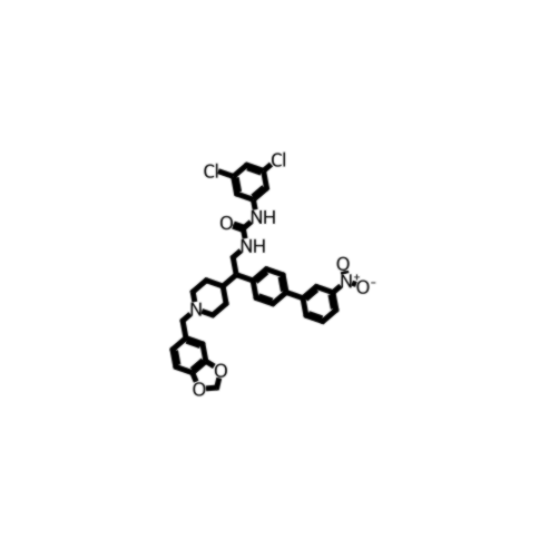 O=C(NCC(c1ccc(-c2cccc([N+](=O)[O-])c2)cc1)C1CCN(Cc2ccc3c(c2)OCO3)CC1)Nc1cc(Cl)cc(Cl)c1